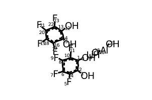 Oc1c(O)c(F)c(F)c(F)c1F.Oc1c(O)c(F)c(F)c(F)c1F.[LiH].[O]=[Al][OH]